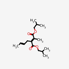 CC=CCC(C(=O)OCC(C)C)=C(C)C(=O)OCC(C)C